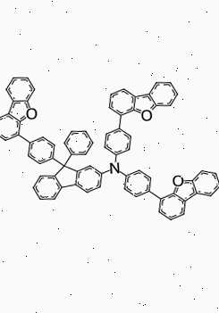 c1ccc(C2(c3ccc(-c4cccc5c4oc4ccccc45)cc3)c3ccccc3-c3ccc(N(c4ccc(-c5cccc6c5oc5ccccc56)cc4)c4ccc(-c5cccc6c5oc5ccccc56)cc4)cc32)cc1